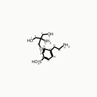 NC(CO)(CO)CO.O=S(=O)(O)c1ccc(CCP)cc1